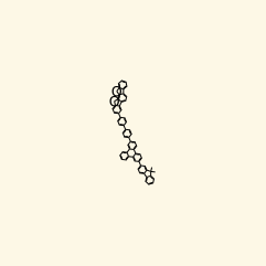 CC1(C)c2ccccc2-c2ccc(-c3ccc4c5ccc(-c6ccc(-c7ccc(-c8ccc9oc%10c(ccc%11c%12ccccc%12oc%11%10)c9c8)cc7)cc6)cc5c5ccccc5c4c3)cc21